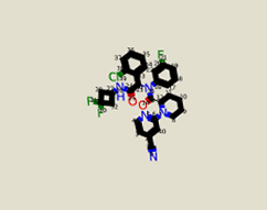 N#Cc1ccnc(N2CCCC[C@H]2C(=O)N(c2cccc(F)c2)[C@H](C(=O)NC2CC(F)(F)C2)c2ccccc2Cl)c1